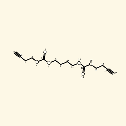 C#CCCOC(=O)OCCCCOC(=O)OCCC#C